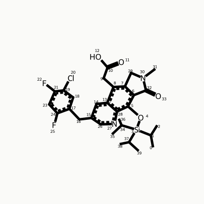 CC(C)[Si](Oc1c2c(c(CC(=O)O)c3cc(Cc4cc(Cl)c(F)cc4F)cnc13)CN(C)C2=O)(C(C)C)C(C)C